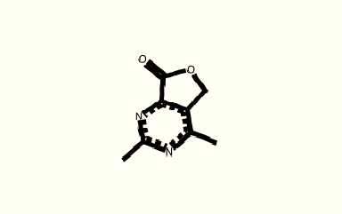 Cc1nc(C)c2c(n1)C(=O)OC2